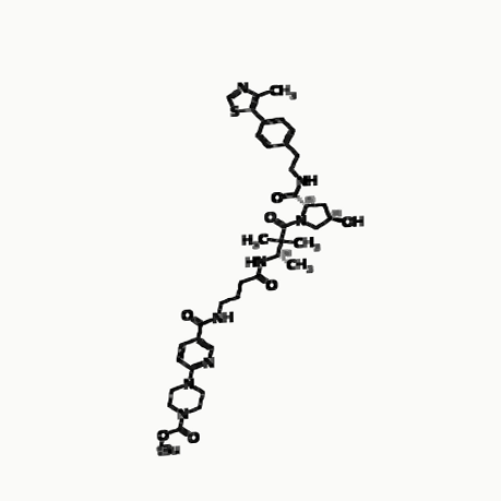 Cc1ncsc1-c1ccc(CCNC(=O)[C@@H]2C[C@@H](O)CN2C(=O)C(C)(C)[C@H](C)NC(=O)CCCNC(=O)c2ccc(N3CCN(C(=O)OC(C)(C)C)CC3)nc2)cc1